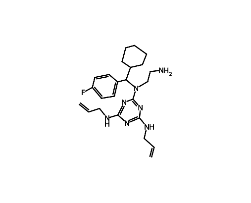 C=CCNc1nc(NCC=C)nc(N(CCN)C(c2ccc(F)cc2)C2CCCCC2)n1